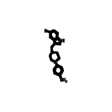 Nc1ccc(N2CCN(Cc3c[nH]c4ccc(F)cc34)CC2)cc1